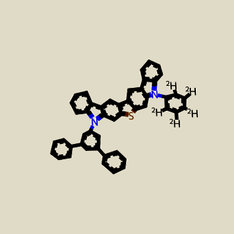 [2H]c1c([2H])c([2H])c(-n2c3ccccc3c3cc4c(cc32)sc2cc3c(cc24)c2ccccc2n3-c2cc(-c3ccccc3)cc(-c3ccccc3)c2)c([2H])c1[2H]